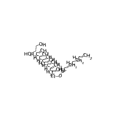 C=C.C=C.C=C.C=C.C=C.C=C.C=C.C=C.C=C.C=C.CCOCC.OCCO